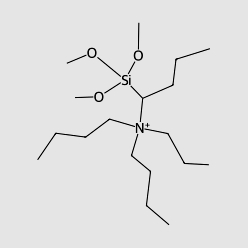 CCCC[N+](CCC)(CCCC)C(CCC)[Si](OC)(OC)OC